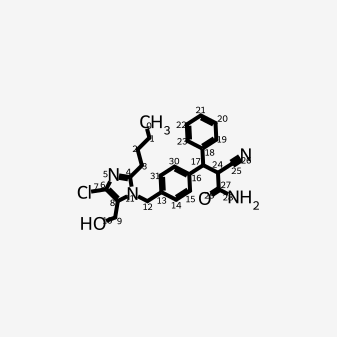 CCCCc1nc(Cl)c(CO)n1Cc1ccc(C(c2ccccc2)C(C#N)C(N)=O)cc1